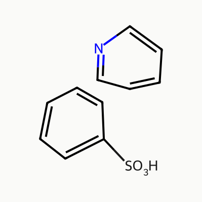 O=S(=O)(O)c1ccccc1.c1ccncc1